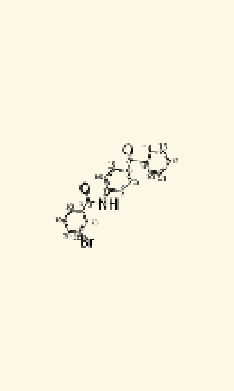 O=C(Nc1ccc(C(=O)c2ccccc2)cc1)c1cccc(Br)c1